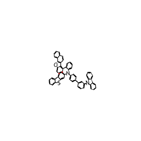 c1cc(-c2ccc(N(c3ccc4c(c3)sc3ccccc34)c3ccccc3-c3cccc4oc5c6ccccc6ccc5c34)cc2)cc(-n2c3ccccc3c3ccccc32)c1